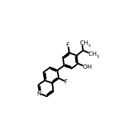 CC(C)c1c(O)cc(-c2ccc3cnccc3c2F)cc1F